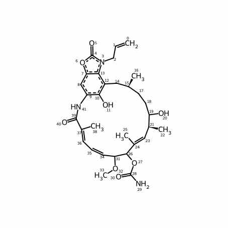 C=CCn1c(=O)oc2cc3c(O)c(c21)C[C@@H](C)CCC(O)[C@@H](C)/C=C(\C)C(OC(N)=O)C(OC)/C=C\C=C(/C)C(=O)N3